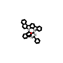 c1ccc(-c2nc(-c3ccccc3)nc(-n3c4ccccc4c4ccc5c6c7ccccc7ccc6n(-c6ccccc6)c5c43)n2)cc1